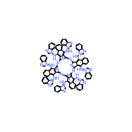 c1ccc2c(c1)ncn2Nc1c2c(c(Nn3cnc4ccccc43)c3ccccc13)-c1nc-2nc2[nH]c(nc3nc(nc4[nH]c(n1)c1c(Nn5cnc6ccccc65)c5ccccc5c(Nn5cnc6ccccc65)c41)-c1c-3c(Nn3cnc4ccccc43)c3ccccc3c1Nn1cnc3ccccc31)c1c(Nn3cnc4ccccc43)c3ccccc3c(Nn3cnc4ccccc43)c21